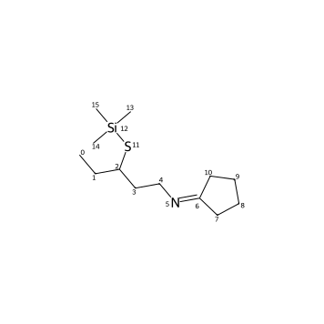 CCC(CCN=C1CCCC1)S[Si](C)(C)C